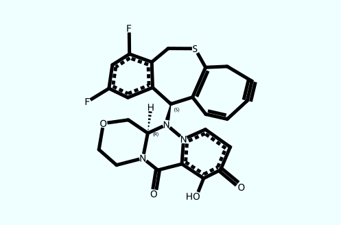 O=C1c2c(O)c(=O)ccn2N([C@@H]2C3=C(CC#CC=C3)SCc3c(F)cc(F)cc32)[C@@H]2COCCN12